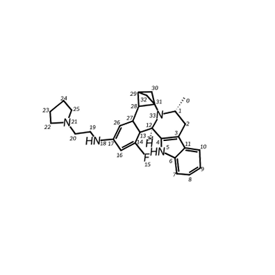 C[C@@H]1Cc2c([nH]c3ccccc23)[C@H]2C3C(F)=CC(NCCN4CCCC4)=CC3C3C4CC3(C4)N12